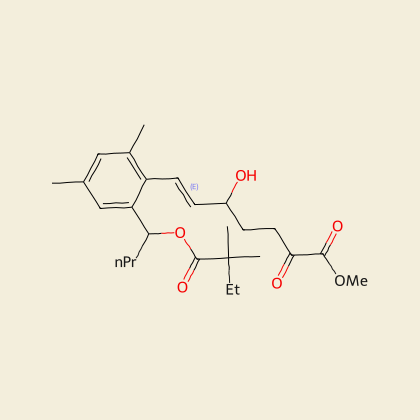 CCCC(OC(=O)C(C)(C)CC)c1cc(C)cc(C)c1/C=C/C(O)CCC(=O)C(=O)OC